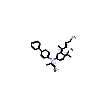 CCC/C=C(\C)N(C1=CCC(c2ccccc2)C=C1)c1ccc(=C(\C)C(C)C)/c(=C(C)\C=C\CC(C)C)c1